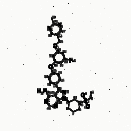 C=CS(=O)(=O)N1CCC[C@@H](n2nc(-c3ccc(Oc4cc(F)cc(OCc5cnc(C)nc5)c4)cc3)c3c(N)ncnc32)C1